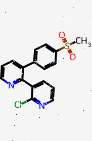 CS(=O)(=O)c1ccc(-c2cccnc2-c2cccnc2Cl)cc1